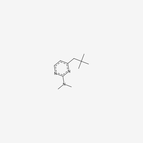 CN(C)c1nccc(CC(C)(C)C)n1